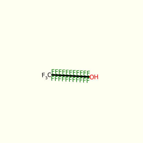 OC(F)(F)C(F)(F)C(F)(F)C(F)(F)C(F)(F)C(F)(F)C(F)(F)C(F)(F)C(F)(F)C(F)(F)C(F)(F)C(F)(F)F